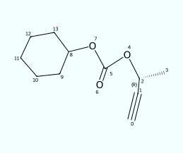 C#C[C@@H](C)OC(=O)OC1CCCCC1